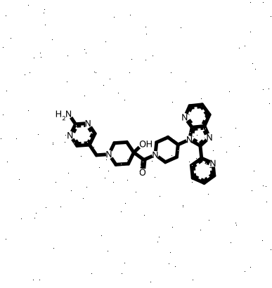 Nc1ncc(CN2CCC(O)(C(=O)N3CCC(n4c(-c5ccccn5)nc5cccnc54)CC3)CC2)cn1